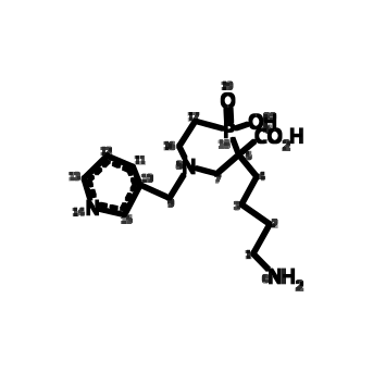 NCCCCC1(C(=O)O)CN(Cc2cccnc2)CCP1(=O)O